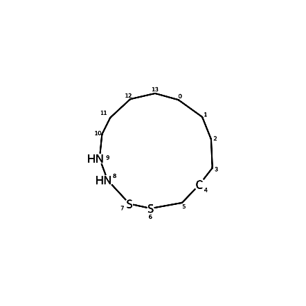 C1CCCCCSSNNCCCC1